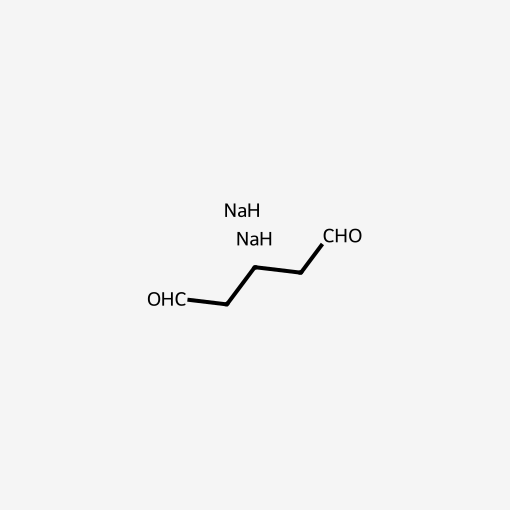 O=CCCCC=O.[NaH].[NaH]